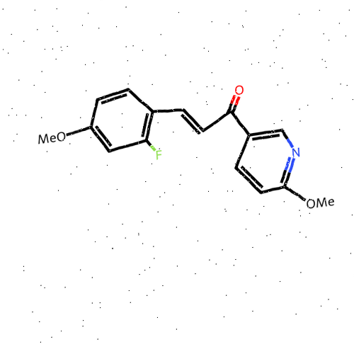 COc1ccc(C=CC(=O)c2ccc(OC)nc2)c(F)c1